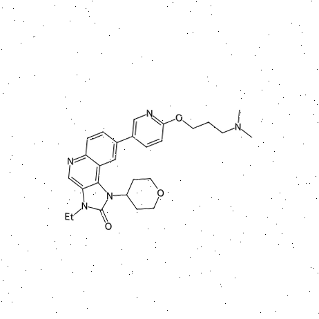 CCn1c(=O)n(C2CCOCC2)c2c3cc(-c4ccc(OCCCN(C)C)nc4)ccc3ncc21